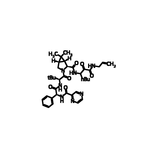 C=CCNC(=O)C(=O)C(CCCC)NC(=O)[C@@H]1[C@@H]2[C@H](CN1C(=O)[C@@H](NC(=O)[C@@H](NC(=O)c1cnccn1)c1ccccc1)C(C)(C)C)C2(C)C